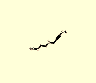 CC#CCOCCOC